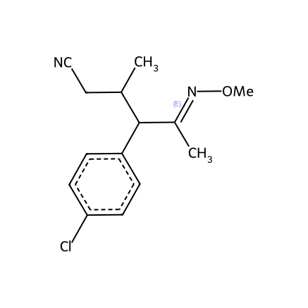 CO/N=C(\C)C(c1ccc(Cl)cc1)C(C)CC#N